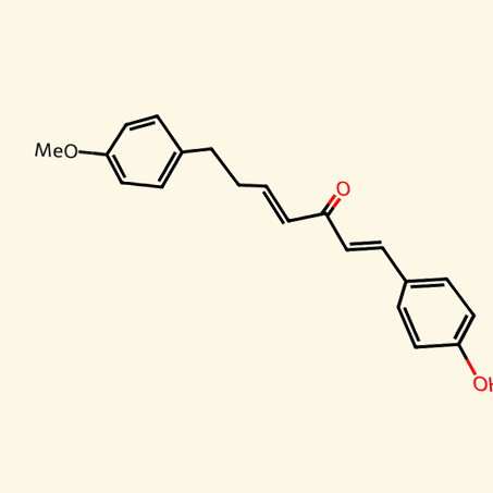 COc1ccc(CCC=CC(=O)C=Cc2ccc(O)cc2)cc1